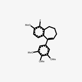 COc1ccc2c(c1F)CCCC=C2c1cc(OC)c(OC)c(OC)c1